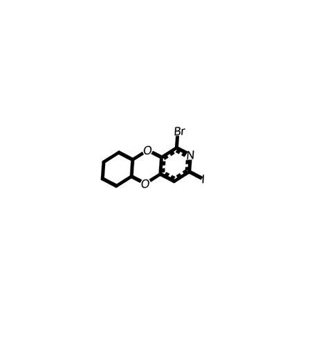 Brc1nc(I)cc2c1OC1CCCCC1O2